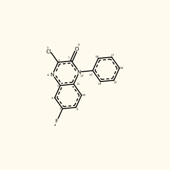 O=c1c(Cl)nc2cc(F)ccc2n1-c1ccccc1